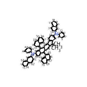 CC1(C)c2cc(N(c3ccccc3)c3ccc4ccccc4c3)ccc2-c2cc3c(-c4cccc5ccccc45)c4cc(N(c5ccccc5)c5ccc6ccccc6c5)ccc4c(-c4cccc5ccccc45)c3cc21